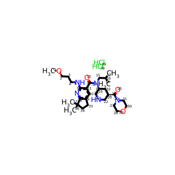 COCCCNc1nc2c(cc1C(=O)N(CC(C)C)[C@@H]1CNC[C@H](C(=O)N3CCOCC3)C1)CCC2(C)C.Cl.Cl